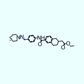 CCOC(=O)CC1CCc2cc(C(=O)Nc3ccc(/C=N/N4CCSCC4)cc3)ccc2C1